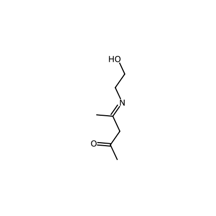 CC(=O)C/C(C)=N/CCO